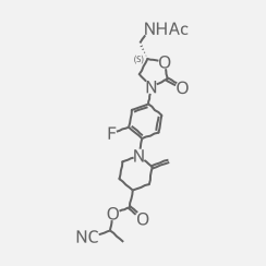 C=C1CC(C(=O)OC(C)C#N)CCN1c1ccc(N2C[C@H](CNC(C)=O)OC2=O)cc1F